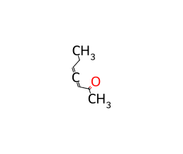 CCC=C=CC(C)=O